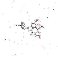 COc1ccc2c(c1OC)C(=O)N1CC(=O)C[C@H]1C(=O)N2COCC[Si](C)(C)C